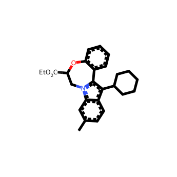 CCOC(=O)C1Cn2c(c(C3CCCCC3)c3ccc(C)cc32)-c2ccccc2O1